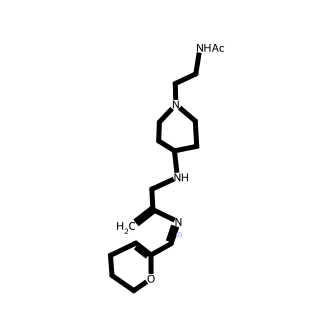 C=C(CNC1CCN(CCNC(C)=O)CC1)/N=C\C1=CCCCO1